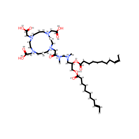 C/C=C\CCCCCCCC(=O)OC(COC(=O)CCCCCCC/C=C/C)CN(C)CN(C)C(=O)CN1CCCN(CC(=O)O)CCN(CC(=O)O)CCCN(CC(=O)O)CC1